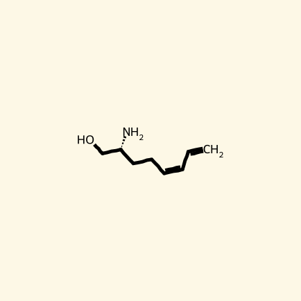 C=C/C=C\CC[C@@H](N)CO